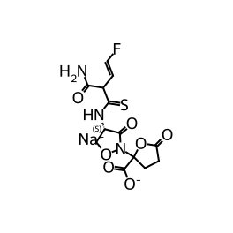 NC(=O)C(C=CF)C(=S)N[C@H]1CON(C2(C(=O)[O-])CCC(=O)O2)C1=O.[Na+]